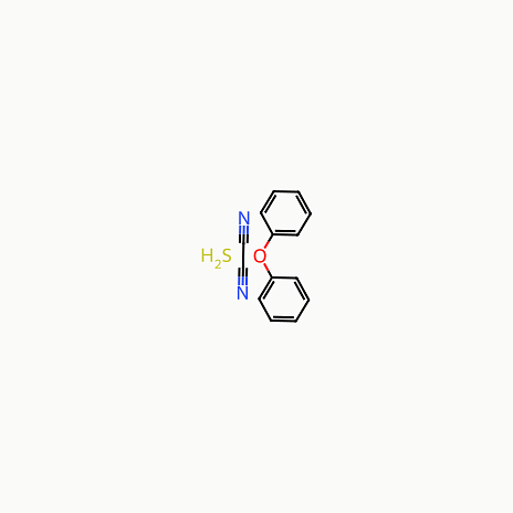 N#CC#N.S.c1ccc(Oc2ccccc2)cc1